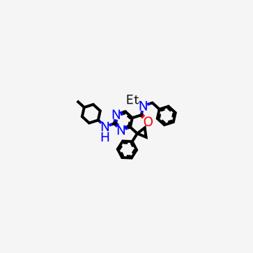 CCN(Cc1ccccc1)C(=O)c1cnc(NC2CCC(C)CC2)nc1C1(c2ccccc2)CC1